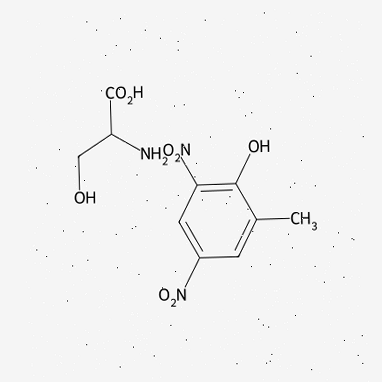 Cc1cc([N+](=O)[O-])cc([N+](=O)[O-])c1O.NC(CO)C(=O)O